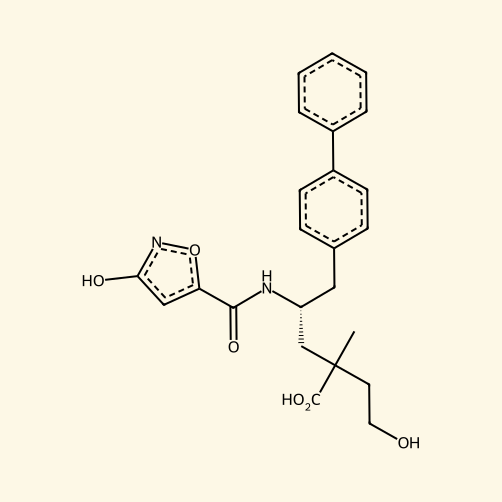 CC(CCO)(C[C@@H](Cc1ccc(-c2ccccc2)cc1)NC(=O)c1cc(O)no1)C(=O)O